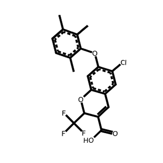 Cc1ccc(C)c(Oc2cc3c(cc2Cl)C=C(C(=O)O)C(C(F)(F)F)O3)c1C